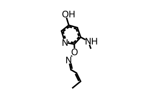 C/C=C\C=N/Oc1ncc(O)cc1NC